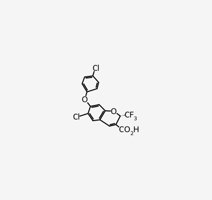 O=C(O)C1=Cc2cc(Cl)c(Oc3ccc(Cl)cc3)cc2O[C@@H]1C(F)(F)F